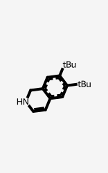 CC(C)(C)c1cc2c(cc1C(C)(C)C)CNC=C2